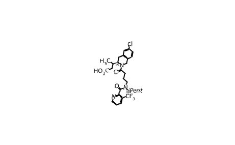 CCC[C@H](C)N(CCCC(=O)N1Cc2ccc(Cl)cc2C[C@@H]1C(C)CC(=O)O)C(=O)c1ncccc1C(F)(F)F